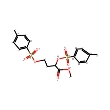 COC(=O)C(CCOS(=O)(=O)c1ccc(C)cc1)OS(=O)(=O)c1ccc(C)cc1